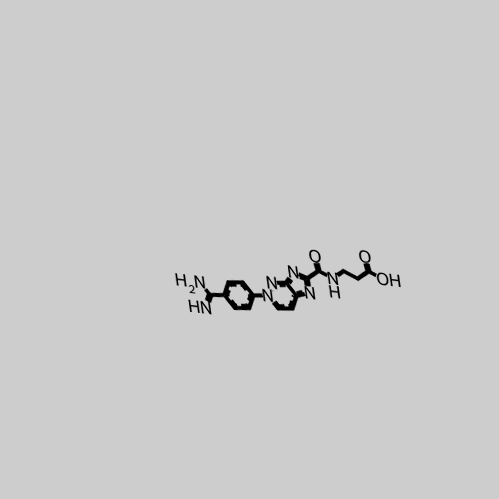 N=C(N)c1ccc(-n2ccc3nc(C(=O)NCCC(=O)O)nc-3n2)cc1